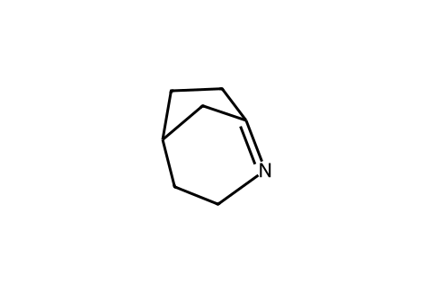 C1CC2CCC(=N1)C2